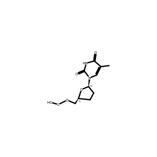 Cc1cn([C@H]2CC[C@@H](COOO)O2)c(=O)[nH]c1=O